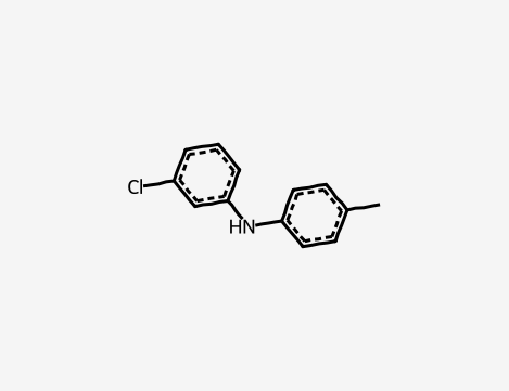 Cc1ccc(Nc2cccc(Cl)c2)cc1